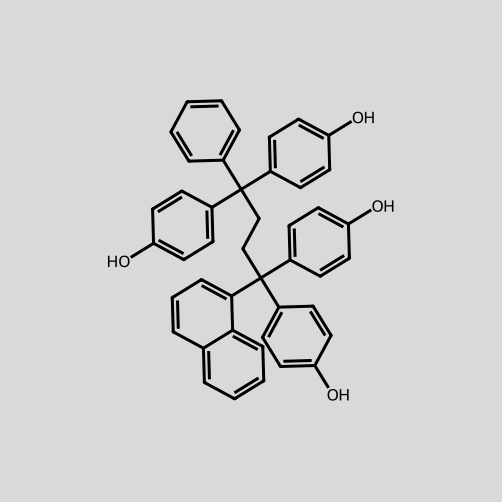 Oc1ccc(C(CCC(c2ccc(O)cc2)(c2ccc(O)cc2)c2cccc3ccccc23)(c2ccccc2)c2ccc(O)cc2)cc1